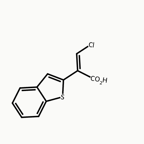 O=C(O)C(=CCl)c1cc2ccccc2s1